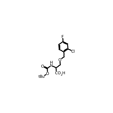 CC(C)(C)OC(=O)NC(COCc1ccc(F)cc1Cl)C(=O)O